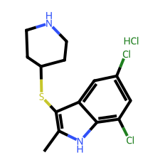 Cc1[nH]c2c(Cl)cc(Cl)cc2c1SC1CCNCC1.Cl